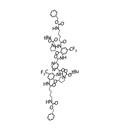 CC(C)(C)OC(=O)N1CC[C@@H](Oc2c(NC(=O)CCCCNC(=O)OCc3ccccc3)cc(C(F)(F)F)cc2NC(=O)c2cc(C(=O)Nc3cc(C(F)(F)F)cc(NC(=O)CCCCNC(=O)OCc4ccccc4)c3O[C@@H]3CCN(C(=O)OC(C)(C)C)C3)ncn2)C1